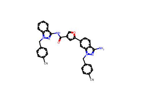 N#Cc1ccc(Cn2nc(N)c3ccc(-c4cc(C(=O)Nc5nn(Cc6ccc(C#N)cc6)c6ccccc56)co4)cc32)cc1